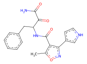 Cc1onc(-c2cc[nH]c2)c1C(=O)NC(Cc1ccccc1)C(=O)C(N)=O